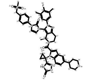 Cc1cc(-n2nc3c(c2-n2ccn(-c4ccc(CS(C)(=O)=O)cc4)c2=O)[C@H](C)N(C(=O)c2cc4cc(C5CCOCC5)ccc4n2[C@@]2(c4noc(=O)[nH]4)C[C@@H]2C)CC3)cc(C)c1F